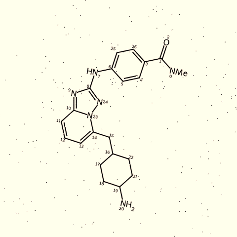 CNC(=O)c1ccc(Nc2nc3cccc(CC4CCC(N)CC4)n3n2)cc1